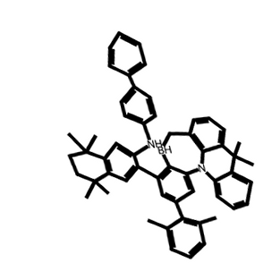 Cc1cccc(C)c1-c1cc(-c2cc3c(cc2Nc2ccc(-c4ccccc4)cc2)C(C)(C)CCC3(C)C)c2c(c1)N1c3ccccc3C(C)(C)c3cccc(c31)CB2